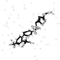 COc1cc(CNS(=O)(=O)c2ccc(-c3ccc(C(F)(F)F)cc3C(F)(F)F)cc2)sn1